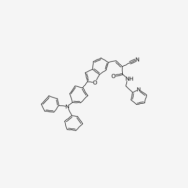 N#CC(=Cc1ccc2cc(-c3ccc(N(c4ccccc4)c4ccccc4)cc3)oc2c1)C(=O)NCc1ccccn1